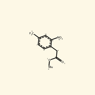 CC(C)(C)OC(=O)Cc1ccc(C(F)(F)F)cc1[N+](=O)[O-]